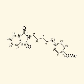 COc1ccc(SCCCCN2C(=O)c3ccccc3C2=O)cc1